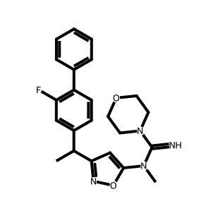 CC(c1ccc(-c2ccccc2)c(F)c1)c1cc(N(C)C(=N)N2CCOCC2)on1